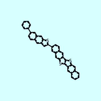 c1ccc(-c2ccc3cc4cc(-c5ccc6cc7c(cc6c5)sc5c6cc8ccccc8cc6sc75)sc4cc3c2)cc1